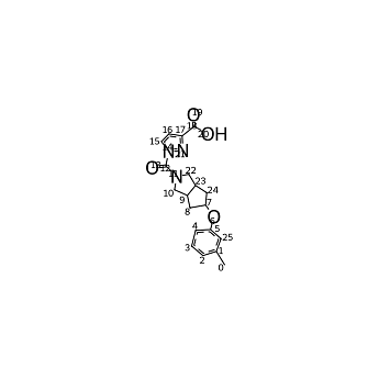 Cc1cccc(OC2CC3CN(C(=O)n4ccc(C(=O)O)n4)CC3C2)c1